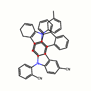 CC1=CC=CC(n2c3c(c4c2=C(c2ccccc2-c2ccccc2-c2ccc5c(c2)c2cc(C#N)ccc2n5-c2ccccc2C#N)CCC=4)CCC=C3)C1